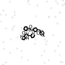 CN1CCN(Cc2ccc(NC(=O)c3cccc(Oc4nc(-c5cccnc5)nc5ccn(C)c45)c3)cc2C(F)(F)F)CC1